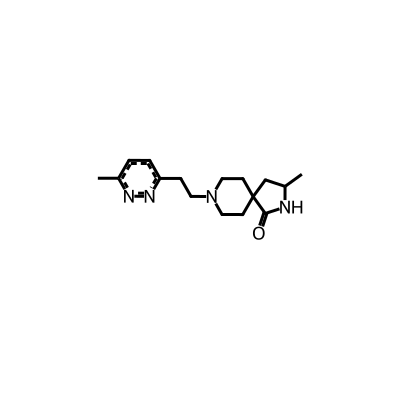 Cc1ccc(CCN2CCC3(CC2)CC(C)NC3=O)nn1